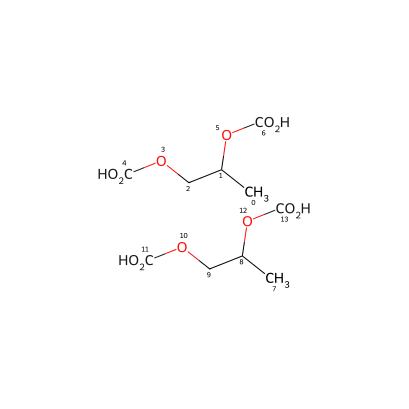 CC(COC(=O)O)OC(=O)O.CC(COC(=O)O)OC(=O)O